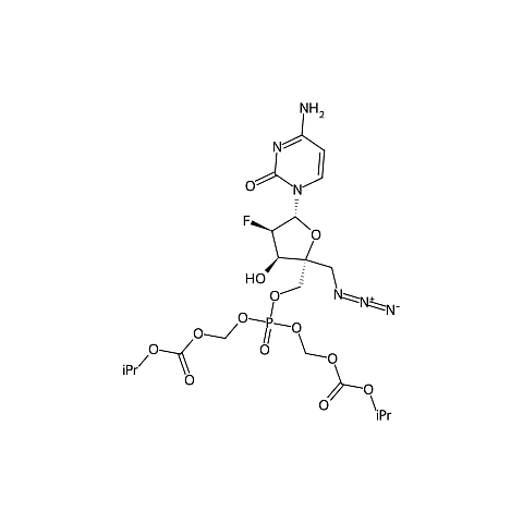 CC(C)OC(=O)OCOP(=O)(OCOC(=O)OC(C)C)OC[C@@]1(CN=[N+]=[N-])O[C@@H](n2ccc(N)nc2=O)[C@H](F)[C@@H]1O